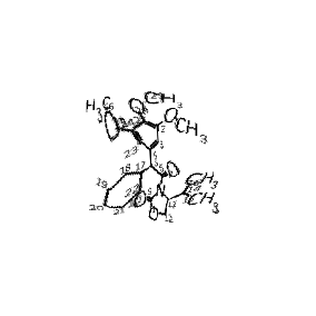 COc1cc([C@@H](C(=O)N2C(=O)OC[C@@H]2C(C)C)C2CCCCC2)cc(OC)c1OC